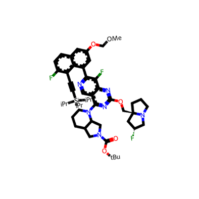 COCOc1cc(-c2ncc3c(N4CCCC5CN(C(=O)OC(C)(C)C)CC54)nc(OC[C@@]45CCCN4C[C@H](F)C5)nc3c2F)c2c(C#C[Si](C(C)C)(C(C)C)C(C)C)c(F)ccc2c1